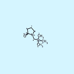 [CH3][Sn]([CH3])([CH3])[CH2]N1CCCC1=O